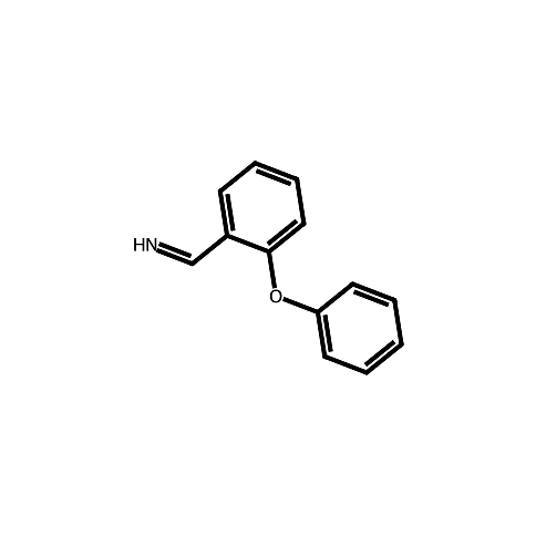 N=Cc1ccccc1Oc1ccccc1